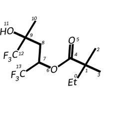 CCC(C)(C)C(=O)OC(CC(C)(O)C(F)(F)F)C(F)(F)F